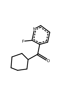 O=C(c1cccnc1F)C1CCCCC1